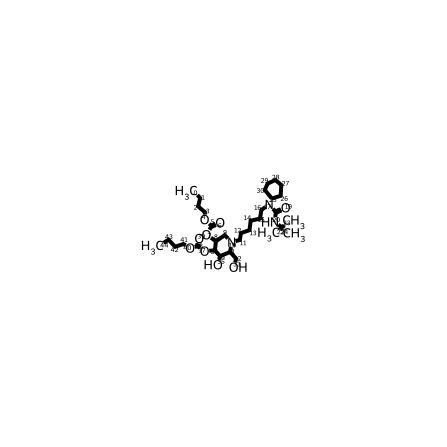 CCCCOC(=O)OC1CN(CCCCCCN(C(=O)NC(C)(C)C)C2CCCCC2)C(CO)C(O)C1OC(=O)OCCCC